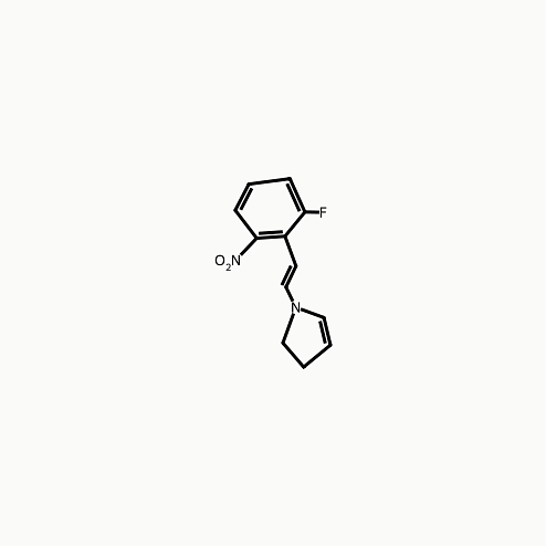 O=[N+]([O-])c1cccc(F)c1C=CN1C=CCC1